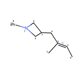 C/C=C(\C)CC1CN(C(C)C)C1